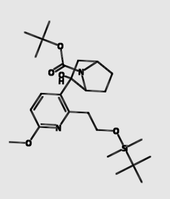 COc1ccc(C2(O)CC3CCC2N3C(=O)OC(C)(C)C)c(CCO[Si](C)(C)C(C)(C)C)n1